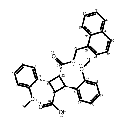 COc1ccccc1[C@H]1[C@H](C(=O)O)[C@H](c2ccccc2OC)[C@H]1C(=O)OCc1cccc2ccccc12